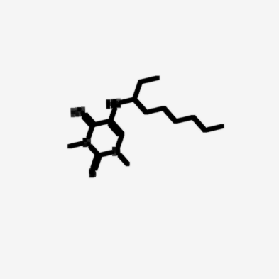 CCCCCCC(CC)Nc1cn(C)c(=S)n(C)c1=N